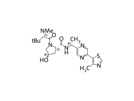 CN[C@H](C(=O)N1C[C@H](O)C[C@H]1C(=O)N[C@H](C)c1cnc(-c2scnc2C)cn1)C(C)(C)C